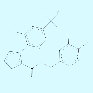 O=C(NCc1ccc(F)c(F)c1)c1cccn1-c1ncc(C(F)(F)F)cc1Cl